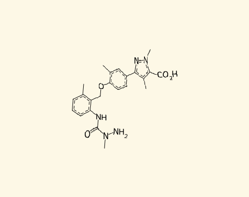 Cc1cc(-c2nn(C)c(C(=O)O)c2C)ccc1OCc1c(C)cccc1NC(=O)N(C)N